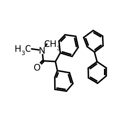 CN(C)C(=O)C(c1ccccc1)c1ccccc1.c1ccc(-c2ccccc2)cc1